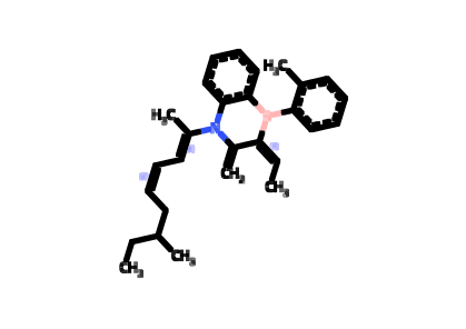 C=C1/C(=C\C)B(c2ccccc2C)c2ccccc2N1/C(C)=C/C=C\CC(C)CC